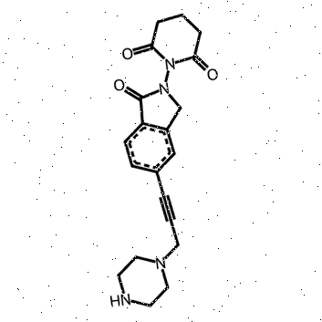 O=C1c2ccc(C#CCN3CCNCC3)cc2CN1N1C(=O)CCCC1=O